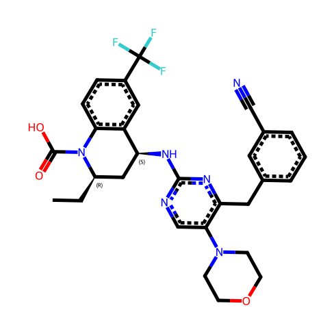 CC[C@@H]1C[C@H](Nc2ncc(N3CCOCC3)c(Cc3cccc(C#N)c3)n2)c2cc(C(F)(F)F)ccc2N1C(=O)O